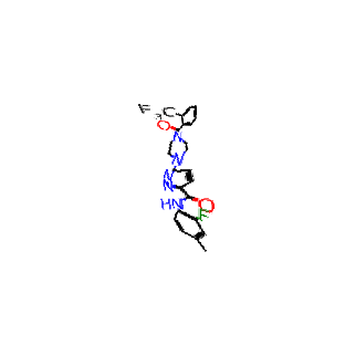 Cc1ccc(NC(=O)c2ccc(N3CCN(C(=O)c4ccccc4C(F)(F)F)CC3)nn2)c(F)c1